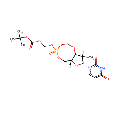 CC(C)(C)OC(=O)OCOP1(=O)OCOC2[C@@H](CO1)O[C@@H](n1ccc(=O)[nH]c1=O)C2(C)F